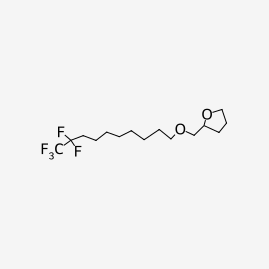 FC(F)(F)C(F)(F)CCCCCCCCOCC1CCCO1